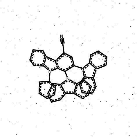 N#Cc1cc(-n2c3ccccc3c3ccccc32)c(-n2c3ccccc3c3ccccc32)c2c1c1ccccc1n2-c1ccccc1